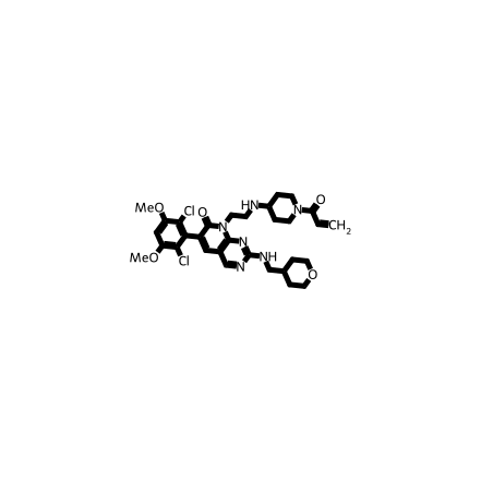 C=CC(=O)N1CCC(NCCn2c(=O)c(-c3c(Cl)c(OC)cc(OC)c3Cl)cc3cnc(NCC4CCOCC4)nc32)CC1